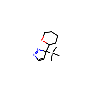 C[Si](C)(C)C1(C2CCCCO2)C=CN=N1